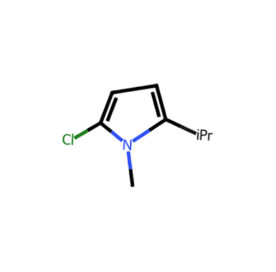 CC(C)c1ccc(Cl)n1C